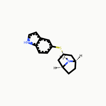 CN1[C@@H]2CC[C@H]1C[C@H](Sc1ccc3[nH]ccc3c1)C2